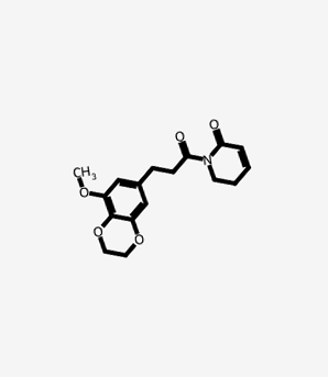 COc1cc(CCC(=O)N2CCC=CC2=O)cc2c1OCCO2